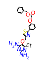 CCc1nc(N)nc(N)c1OCc1csc(-c2cccc(OCC(=O)OCc3ccccc3)c2)n1